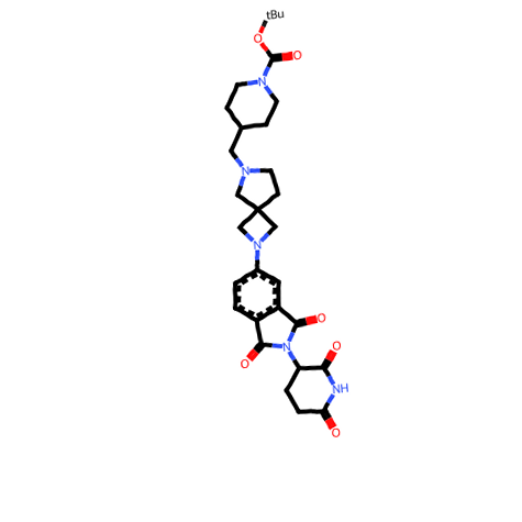 CC(C)(C)OC(=O)N1CCC(CN2CCC3(C2)CN(c2ccc4c(c2)C(=O)N(C2CCC(=O)NC2=O)C4=O)C3)CC1